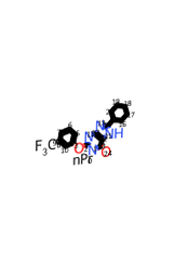 CCCn1c(Oc2cccc(C(F)(F)F)c2)nc2nc(C3CCCCC3)[nH]c2c1=O